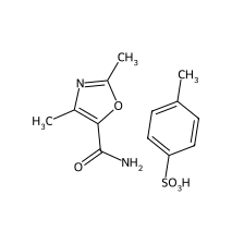 Cc1ccc(S(=O)(=O)O)cc1.Cc1nc(C)c(C(N)=O)o1